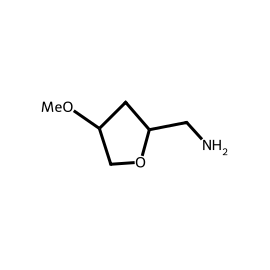 COC1COC(CN)C1